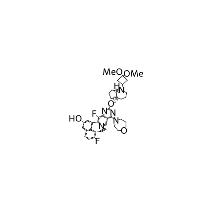 C#Cc1c(F)ccc2cc(O)cc(-c3ncc4c(N5CCCOCC5)nc(OC[C@]56CCC[C@H]5N(C5CC(OC)(OC)C5)CCC6)nc4c3F)c12